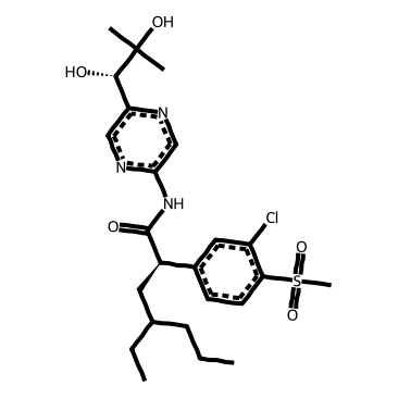 CCCC(CC)C[C@@H](C(=O)Nc1cnc([C@H](O)C(C)(C)O)cn1)c1ccc(S(C)(=O)=O)c(Cl)c1